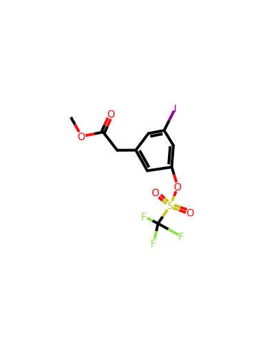 COC(=O)Cc1cc(I)cc(OS(=O)(=O)C(F)(F)F)c1